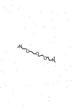 CN(C)CCOCCOCCOCCN(C)C